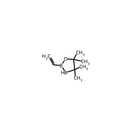 C=CB1BC(C)(C)C(C)(C)O1